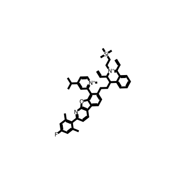 C=CC1=[N+](CC[Si](C)(C)C)C(C=C)C(CCc2ccc3c(oc4nc(-c5c(C)cc(F)cc5C)ccc43)c2-c2cc(C(C)C)cc[n+]2C)c2ccccc21